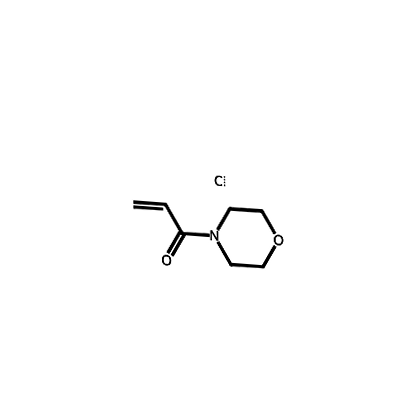 C=CC(=O)N1CCOCC1.[C]